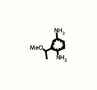 COC(C)c1cc(N)ccc1N